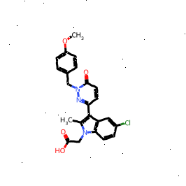 COc1ccc(Cn2nc(-c3c(C)n(CC(=O)O)c4ccc(Cl)cc34)ccc2=O)cc1